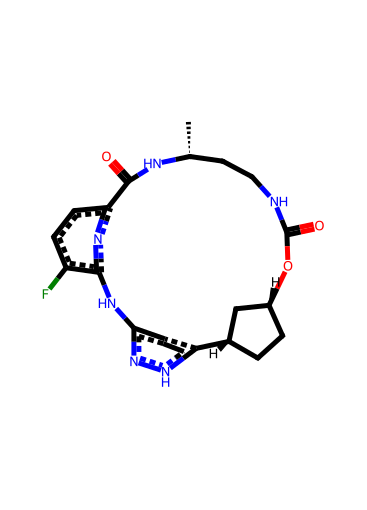 C[C@@H]1CCNC(=O)O[C@@H]2CC[C@@H](C2)c2cc(n[nH]2)Nc2nc(ccc2F)C(=O)N1